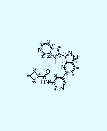 O=C(Nc1cncc(-c2ccc3[nH]nc(-c4cc5ccncc5[nH]4)c3n2)c1)C1CCC1